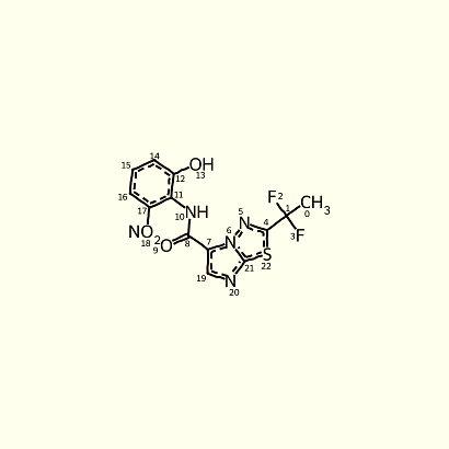 CC(F)(F)c1nn2c(C(=O)Nc3c(O)cccc3[N+](=O)[O-])cnc2s1